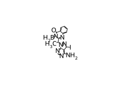 Bn1c(C(C)n2nc(I)c3c(N)ncnc32)nc2ccccc2c1=O